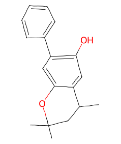 CC1CC(C)(C)Oc2cc(-c3ccccc3)c(O)cc21